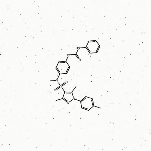 Cc1nn(-c2ccc(F)cc2)c(C)c1S(=O)(=O)N(C)c1ccc(NC(=O)Nc2ccccc2)cc1